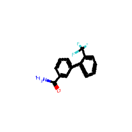 NC(=O)c1cccc(-c2ccccc2C(F)(F)F)c1